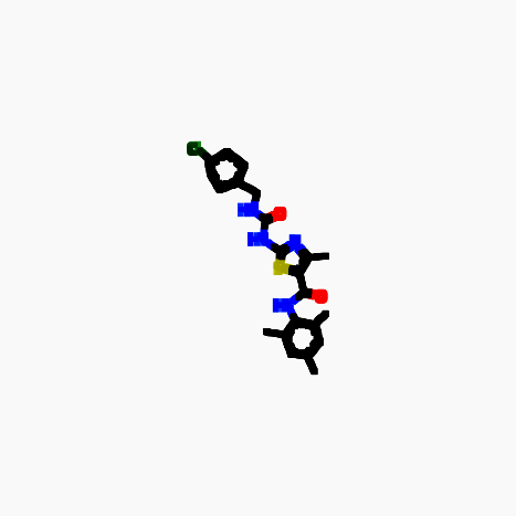 Cc1cc(C)c(NC(=O)c2sc(NC(=O)NCc3ccc(Cl)cc3)nc2C)c(C)c1